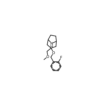 COCC1(OCc2ccccc2F)CC2CCC(C1)N2